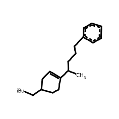 CCC(C)CC1CC=C(C(C)CCCc2ccccc2)CC1